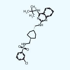 CC(C)(C)Nc1nc(NC[C@H]2CC[C@H](CNS(=O)(=O)c3cccc(Cl)c3)CC2)nc2ccccc12